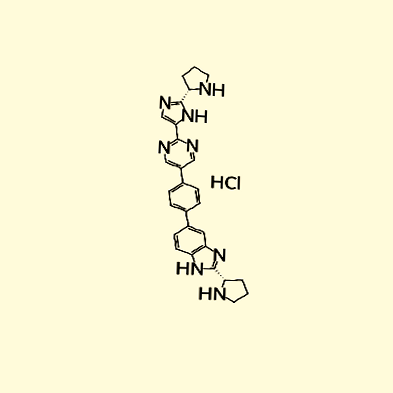 Cl.c1cc(-c2ccc3[nH]c([C@@H]4CCCN4)nc3c2)ccc1-c1cnc(-c2cnc([C@@H]3CCCN3)[nH]2)nc1